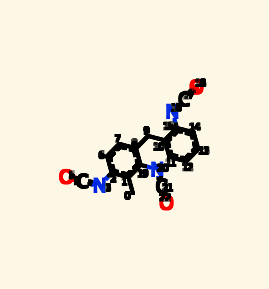 Cc1c(N=C=O)ccc(Cc2ccccc2N=C=O)c1N=C=O